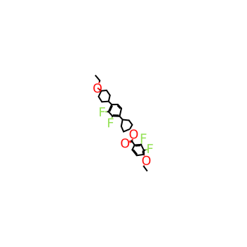 CCOc1ccc(C(=O)OC2CCC(c3ccc(C4CCC(OCC)CC4)c(F)c3F)CC2)c(F)c1F